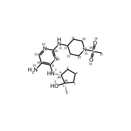 C[C@@]1(O)CCC[C@H]1Nc1nc(NC2CCN(S(C)(=O)=O)CC2)ncc1N